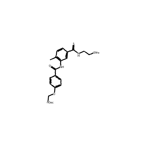 CCCCCCCCCCCOc1ccc(C(=O)Nc2cc(C(=S)NCCSC)ccc2C)cc1